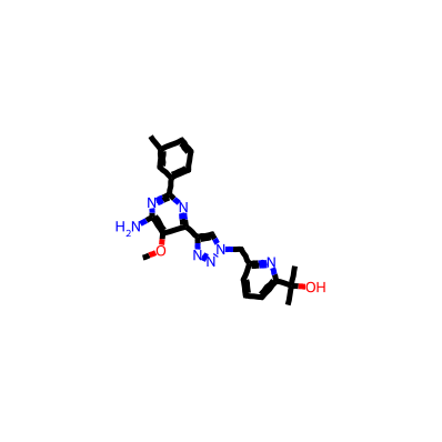 COc1c(N)nc(-c2cccc(C)c2)nc1-c1cn(Cc2cccc(C(C)(C)O)n2)nn1